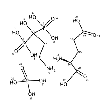 NCCC(O)(P(=O)(O)O)P(=O)(O)O.N[C@@H](CCC(=O)O)C(=O)O.O=P(O)(O)O